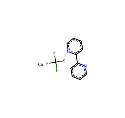 FC(F)(F)[S-].[Cu+].c1ccc(-c2ccccn2)nc1